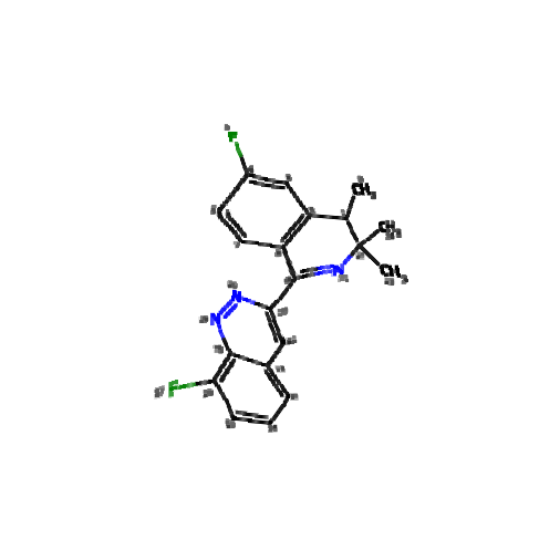 CC1c2cc(F)ccc2C(c2cc3cccc(F)c3nn2)=NC1(C)C